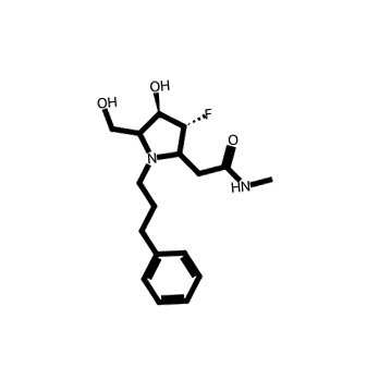 CNC(=O)CC1[C@@H](F)[C@H](O)C(CO)N1CCCc1ccccc1